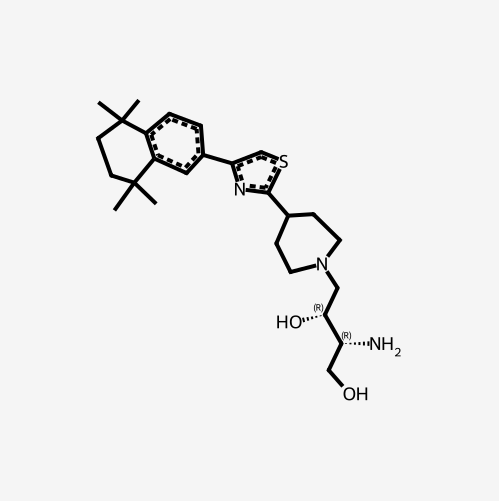 CC1(C)CCC(C)(C)c2cc(-c3csc(C4CCN(C[C@@H](O)[C@H](N)CO)CC4)n3)ccc21